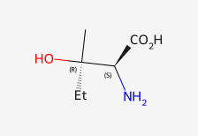 CC[C@@](C)(O)[C@H](N)C(=O)O